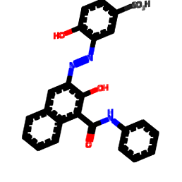 O=C(Nc1ccccc1)c1c(O)c(/N=N/c2cc(S(=O)(=O)O)ccc2O)cc2ccccc12